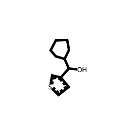 OC(c1ccsc1)C1CCCCC1